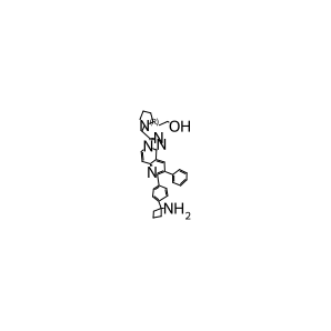 NC1(c2ccc(-c3nc4ccn5c(CN6CCC[C@@H]6CCO)nnc5c4cc3-c3ccccc3)cc2)CCC1